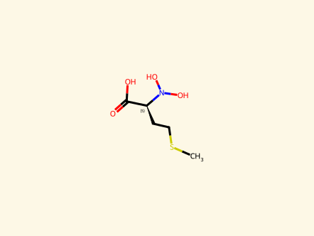 CSCC[C@@H](C(=O)O)N(O)O